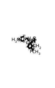 C=c1c(C(C)(F)F)ccc/c1=C(/N=C\C)NC(C)CN1CCN(C)CC1